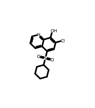 O=S(=O)(c1cc(Cl)c(O)c2ncccc12)C1CCCCC1